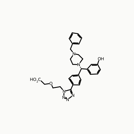 O=C(O)COCCn1nnnc1-c1ccc([C@@H](c2cccc(O)c2)N2CCN(Cc3ccccc3)CC2)cc1